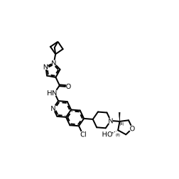 C[C@@]1(N2CCC(c3cc4cc(NC(=O)c5cnn(C67CC(C6)C7)c5)ncc4cc3Cl)CC2)COC[C@@H]1O